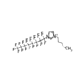 CCCCC[n+]1ccn(C(F)(F)C(F)(F)C(F)(F)C(F)(F)C(F)(F)C(F)(F)C(F)(F)C(F)(F)F)c1